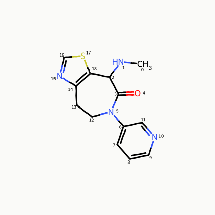 CNC1C(=O)N(c2cccnc2)CCc2ncsc21